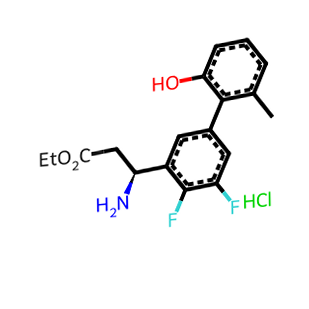 CCOC(=O)C[C@H](N)c1cc(-c2c(C)cccc2O)cc(F)c1F.Cl